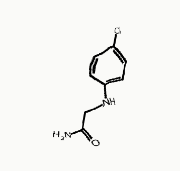 NC(=O)CNc1ccc(Cl)cc1